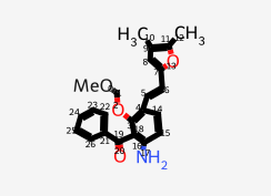 COCOc1c(/C=C/c2cc(C)c(C)o2)ccc(N)c1C(=O)c1ccccc1